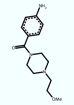 COCCN1CCN(C(=O)c2ccc(N)cc2)CC1